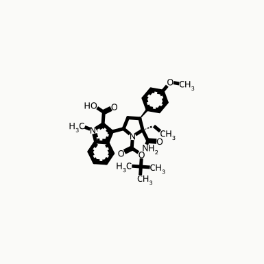 CC[C@@]1(C(N)=O)[C@H](c2ccc(OC)cc2)CC(c2c(C(=O)O)n(C)c3ccccc23)N1C(=O)OC(C)(C)C